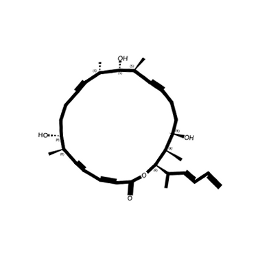 C=CC=CC(C)[C@H]1OC(=O)C=CC=C[C@@H](C)[C@H](O)CCC=C[C@H](C)[C@H](O)[C@@H](C)C=CCC[C@@H](O)[C@H]1C